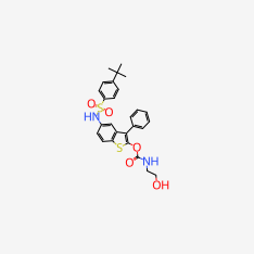 CC(C)(C)c1ccc(S(=O)(=O)Nc2ccc3sc(OC(=O)NCCO)c(-c4ccccc4)c3c2)cc1